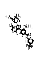 CCN1C[C@H](c2nc(-c3ccc(C(=O)Nc4cc(C(F)(F)F)ccn4)cc3OC)c3c(N)ncc(Cl)n23)OC[C@@H]1C